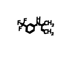 C=CC(=C)Nc1cccc(C(F)(F)F)c1